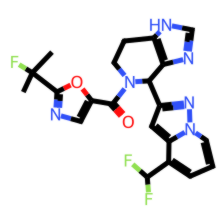 CC(C)(F)c1ncc(C(=O)N2CCc3[nH]cnc3C2c2cc3c(C(F)F)cccn3n2)o1